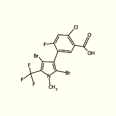 Cn1c(Br)c(-c2cc(C(=O)O)c(Cl)cc2F)c(Br)c1C(F)(F)F